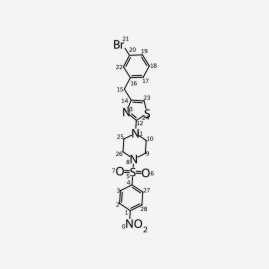 O=[N+]([O-])c1ccc(S(=O)(=O)N2CCN(c3nc(Cc4cccc(Br)c4)cs3)CC2)cc1